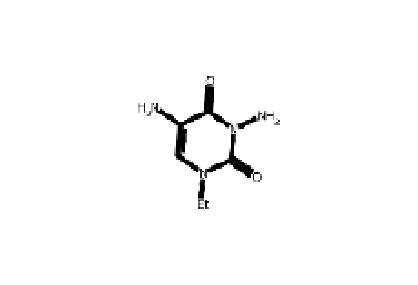 CCn1cc(N)c(=O)n(N)c1=O